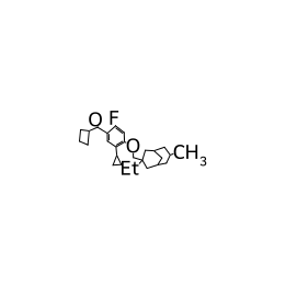 CCC1(COc2cc(F)c(C(=O)C3CCC3)cc2C2CC2)CC2CC(C)CC(C2)C1